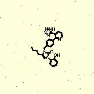 CCCCc1cn(-c2ccccc2O)c(=O)n1Cc1ccc(-c2ncccc2-c2nnn[nH]2)cc1